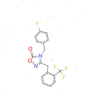 O=c1onc(Cc2ccccc2C(F)(F)F)n1Cc1ccc(F)cc1